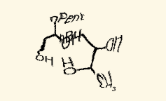 CCCCC(O)C(C)O.CCCCCC(O)CO